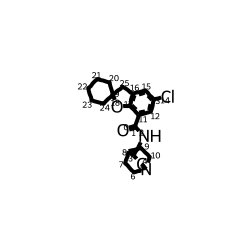 O=C(NC1CN2CCC1CC2)c1cc(Cl)cc2c1OC1(CCCCC1)C2